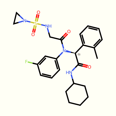 Cc1ccccc1[C@@H](C(=O)NC1CCCCC1)N(C(=O)CNS(=O)(=O)N1CC1)c1cccc(F)c1